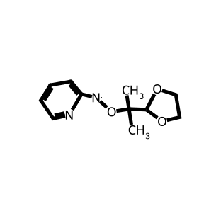 CC(C)(O[N]c1ccccn1)C1OCCO1